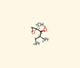 CC(C)C[C@@H](C(=O)[C@]1(C)CO1)C(C)C